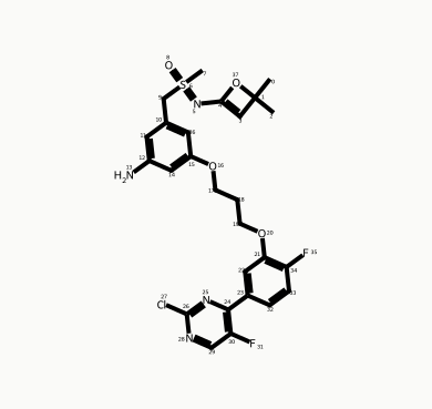 CC1(C)C=C(N=S(C)(=O)Cc2cc(N)cc(OCCCOc3cc(-c4nc(Cl)ncc4F)ccc3F)c2)O1